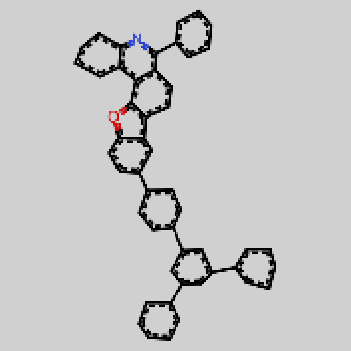 c1ccc(-c2cc(-c3ccccc3)cc(-c3ccc(-c4ccc5oc6c(ccc7c(-c8ccccc8)nc8ccccc8c76)c5c4)cc3)c2)cc1